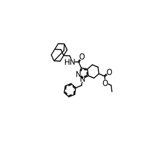 CCOC(=O)C1CCc2c(C(=O)NCC34CC5CC(CC(C5)C3)C4)nn(Cc3ccccc3)c2C1